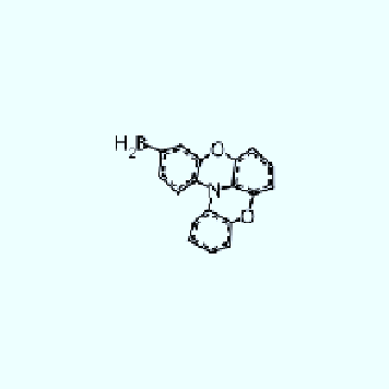 Bc1ccc2c(c1)Oc1cccc3c1N2c1ccccc1O3